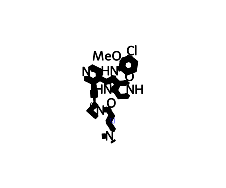 COc1c(Cl)cccc1Nc1c(-c2ccncc2C#C[C@@H]2CCN2C(=O)/C=C/CN(C)C)[nH]c2c1C(=O)NCC2